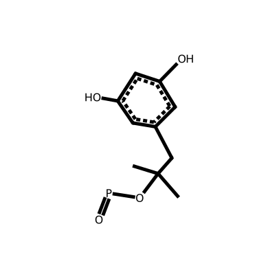 CC(C)(Cc1cc(O)cc(O)c1)OP=O